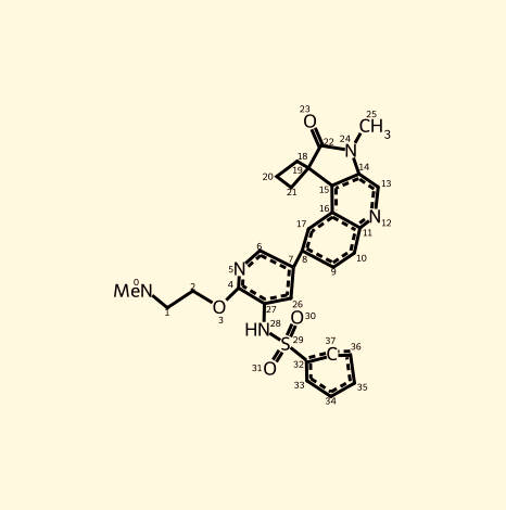 CNCCOc1ncc(-c2ccc3ncc4c(c3c2)C2(CCC2)C(=O)N4C)cc1NS(=O)(=O)c1ccccc1